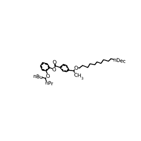 CCCCCCCCCCCCCCCCCCCCOC(C)c1ccc(C(=O)Oc2ccccc2OC(CCC)CCCC)cc1